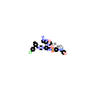 CC1(C)CCC(CN2CCN(c3ccc(C(=O)NS(=O)(=O)c4ccc(NCC5(F)CCOCC5)c([N+](=O)[O-])c4)c(N4C[C@H](C#N)COc5nc6[nH]ccc6cc54)c3)CC2)=C(c2ccc(Cl)cc2)C1